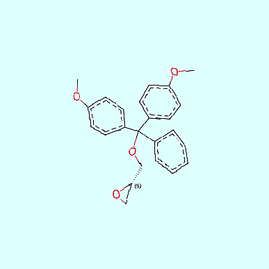 COc1ccc(C(OC[C@@H]2CO2)(c2ccccc2)c2ccc(OC)cc2)cc1